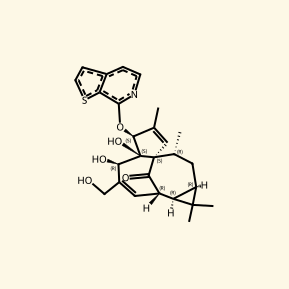 CC1=C[C@]23C(=O)[C@@H](C=C(CO)[C@@H](O)[C@]2(O)[C@H]1Oc1nccc2ccsc12)[C@H]1[C@@H](C[C@H]3C)C1(C)C